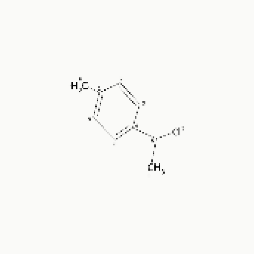 [CH2]c1ccc(C(C)Cl)cc1